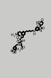 Cn1c(=O)n(C2CCC(=O)NC2=O)c2ccc(NCCCCCc3cc4c5c(c3)C[C@@H](C(=O)N[C@@H](CCC(N)=O)C(=O)NCc3ccc(S(C)(=O)=O)cc3)N5C(=O)[C@@H](N)CC4)cc21